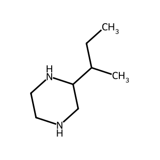 CCC(C)C1CNCCN1